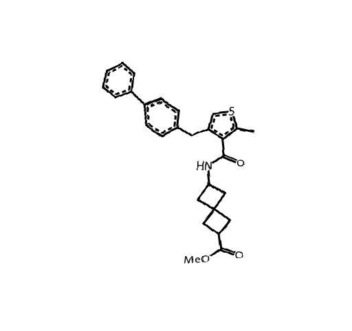 COC(=O)C1CC2(CC(NC(=O)c3c(Cc4ccc(-c5ccccc5)cc4)csc3C)C2)C1